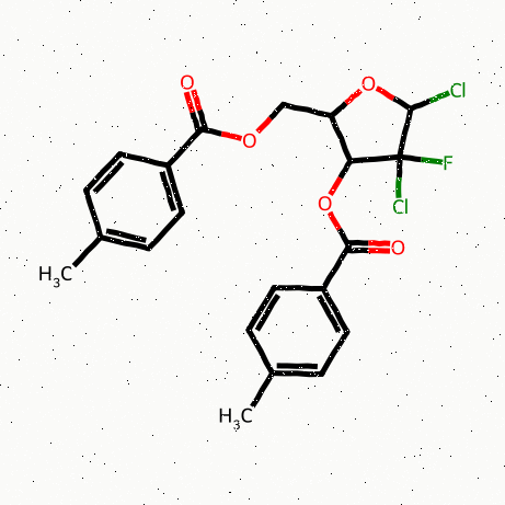 Cc1ccc(C(=O)OCC2OC(Cl)C(F)(Cl)C2OC(=O)c2ccc(C)cc2)cc1